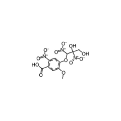 COc1cc(C(=O)O)c([N+](=O)[O-])cc1OC([N+](=O)[O-])C(O)(CO)[N+](=O)[O-]